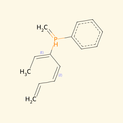 C=C/C=C\C(=C/C)[PH](=C)c1ccccc1